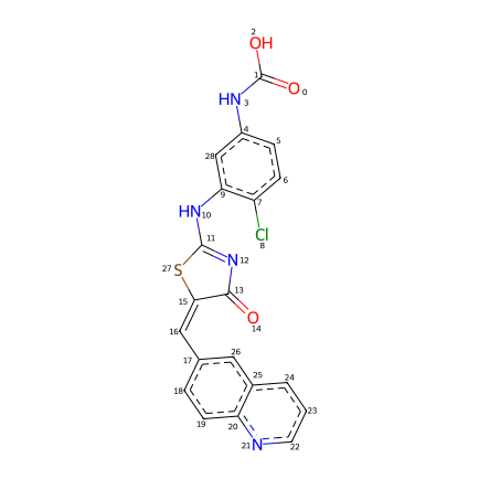 O=C(O)Nc1ccc(Cl)c(NC2=NC(=O)C(=Cc3ccc4ncccc4c3)S2)c1